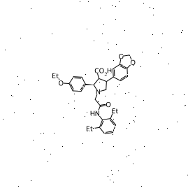 CCOc1ccc([C@H]2C(C(=O)O)C(c3ccc4c(c3)OCO4)CN2CC(=O)Nc2c(CC)cccc2CC)cc1